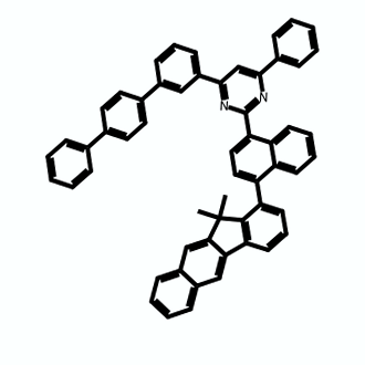 CC1(C)c2cc3ccccc3cc2-c2cccc(-c3ccc(-c4nc(-c5ccccc5)cc(-c5cccc(-c6ccc(-c7ccccc7)cc6)c5)n4)c4ccccc34)c21